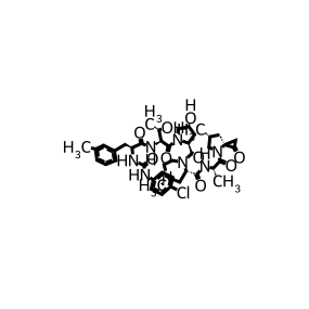 Cc1cccc(C[C@H](NC(=O)Nc2ccc(Cl)cc2)C(=O)N[C@H](C(=O)N2C[C@H](O)C[C@H]2C(=O)N2CCN(C)C[C@H]2C(=O)N[C@@H](C)C(=O)N2C[C@H](C)C[C@@]23CC3=O)[C@H](C)O)c1